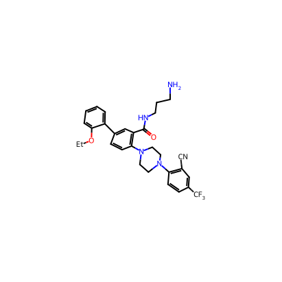 CCOc1ccccc1-c1ccc(N2CCN(c3ccc(C(F)(F)F)cc3C#N)CC2)c(C(=O)NCCCN)c1